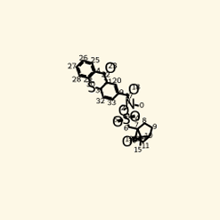 CN(OS(=O)(=O)CC12CCC(CC1=O)C2(C)C)C(=O)C1=CC2C(=O)c3ccccc3SC2C=C1